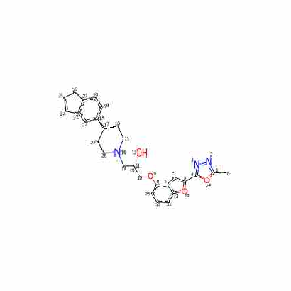 Cc1nnc(-c2cc3c(OC[C@@H](O)CN4CCC(c5ccc6c(c5)C=CC6)CC4)cccc3o2)o1